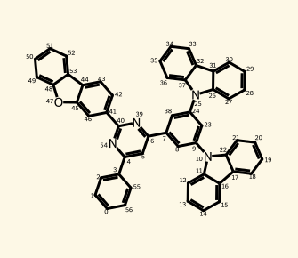 c1ccc(-c2cc(-c3cc(-n4c5ccccc5c5ccccc54)cc(-n4c5ccccc5c5ccccc54)c3)nc(-c3ccc4c(c3)oc3ccccc34)n2)cc1